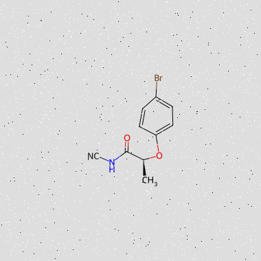 C[C@H](Oc1ccc(Br)cc1)C(=O)NC#N